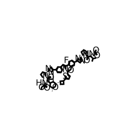 COC(=O)NC(C(=O)N1CCC[C@H]1c1ncc(-c2ccc3c(c2)cc2n3C(c3ccc(C4CCC4)s3)Oc3cc(C4=NC([C@@H]5CCCN5C(=O)[C@@H](NC(=O)OC)C(C)C)=NC4)cc(F)c3-2)[nH]1)C1C[C@@H](C)O[C@@H](C)C1